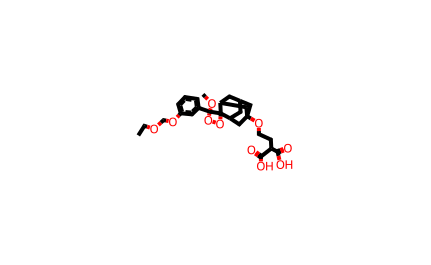 CCOCOc1cccc(C2(OC)OOC23C2CC4CC3CC(OCCC(C(=O)O)C(=O)O)(C4)C2)c1